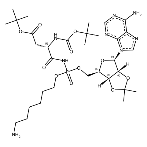 CC(C)(C)OC(=O)C[C@H](NC(=O)OC(C)(C)C)C(=O)NP(=O)(OCCCCCCN)OC[C@H]1O[C@@H](n2cnc3c(N)ncnc32)[C@@H]2OC(C)(C)O[C@@H]21